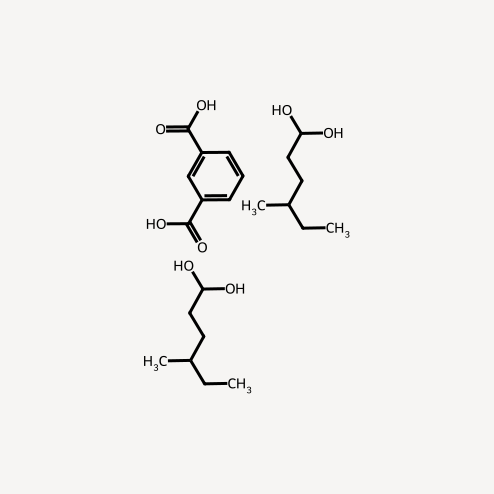 CCC(C)CCC(O)O.CCC(C)CCC(O)O.O=C(O)c1cccc(C(=O)O)c1